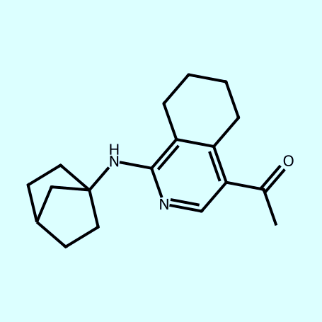 CC(=O)c1cnc(NC23CCC(CC2)C3)c2c1CCCC2